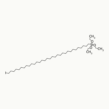 CCO[Si](CCCCCCCCCCCCCCCCCCCCCCCCCCCCCCCCI)(OCC)OCC